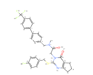 CN(Cc1ccc(-c2ccc(C(F)(F)F)cc2)cc1)C(=O)Cn1c(SCc2ccc(F)cc2)nc2c(c1=O)CCC2